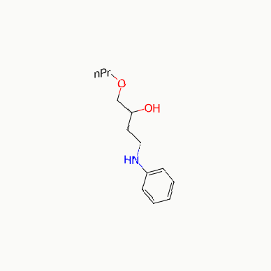 CCCOCC(O)CCNc1ccccc1